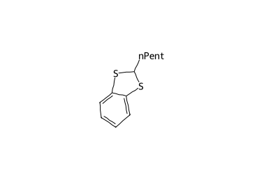 [CH2]CCCCC1Sc2ccccc2S1